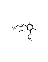 Cc1cc(C)c(SCC(F)(F)F)cc1/N=C(/CC(F)(F)F)N(C)C